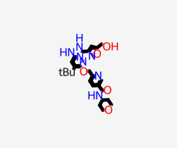 CC(C)(C)c1cc(=N)n(C(=N)c2cc(CO)on2)nc1OCc1ccc(C(=O)NC2CCOCC2)cn1